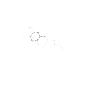 CCCNC1CCc2cc(O)c(O)cc2C1